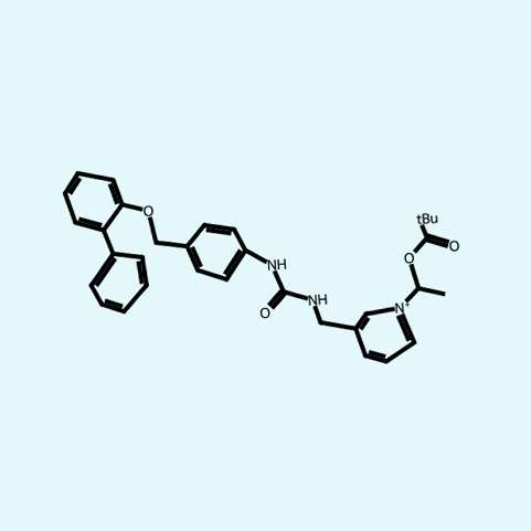 CC(OC(=O)C(C)(C)C)[n+]1cccc(CNC(=O)Nc2ccc(COc3ccccc3-c3ccccc3)cc2)c1